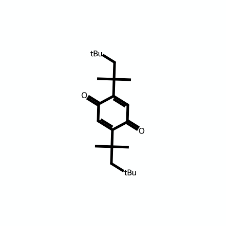 CC(C)(C)CC(C)(C)C1=CC(=O)C(C(C)(C)CC(C)(C)C)=CC1=O